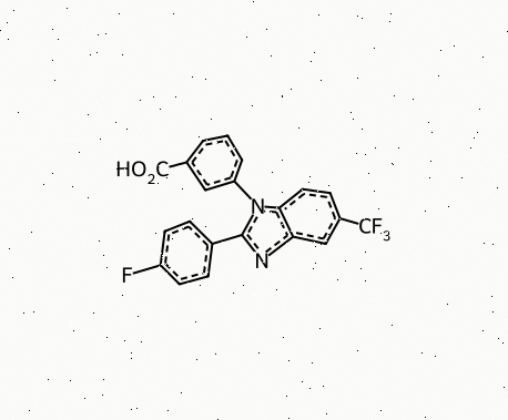 O=C(O)c1cccc(-n2c(-c3ccc(F)cc3)nc3cc(C(F)(F)F)ccc32)c1